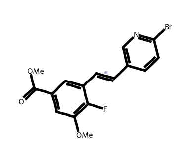 COC(=O)c1cc(/C=C/c2ccc(Br)nc2)c(F)c(OC)c1